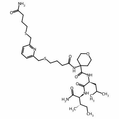 CC[C@H](C)[C@H](NC(=O)[C@H](CC(C)C)NC(=O)C1(NC(=O)CCCSCc2cccc(CSCCCC(N)=O)n2)CCOCC1)C(N)=O